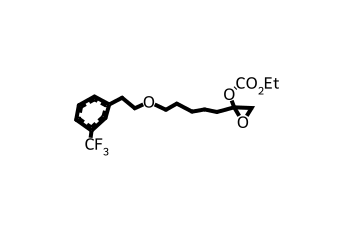 CCOC(=O)OC1(CCCCCOCCc2cccc(C(F)(F)F)c2)CO1